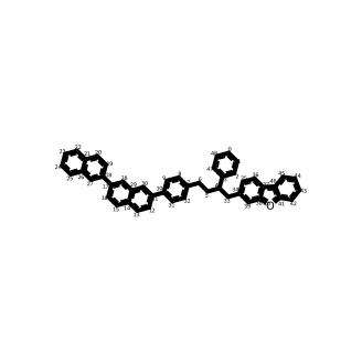 c1ccc(C(CCc2ccc(-c3ccc4ccc(-c5ccc6ccccc6c5)cc4c3)cc2)Cc2ccc3c(c2)oc2ccccc23)cc1